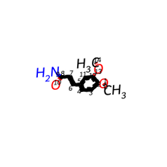 COc1ccc(C=CC(N)=O)cc1OC